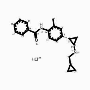 Cc1cc([C@@H]2C[C@H]2NCC2CC2)ccc1NC(=O)c1ccccc1.Cl